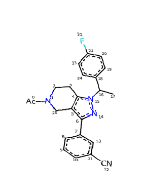 CC(=O)N1CCc2c(c(-c3cccc(C#N)c3)nn2C(C)c2ccc(F)cc2)C1